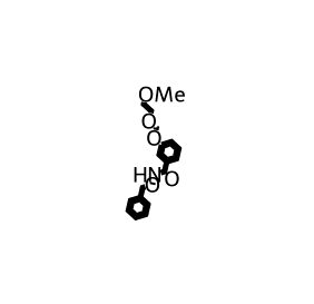 COCCOCOc1cccc(C(=O)NOCc2ccccc2)c1